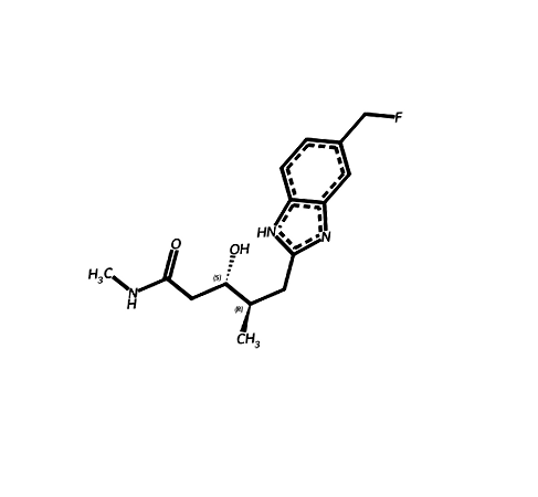 CNC(=O)C[C@H](O)[C@H](C)Cc1nc2cc(CF)ccc2[nH]1